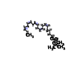 CC/C=C\C/C=C\C/C=C\C/C=C\C/C=C\CCCCOC(=O)OC(C)(C)C